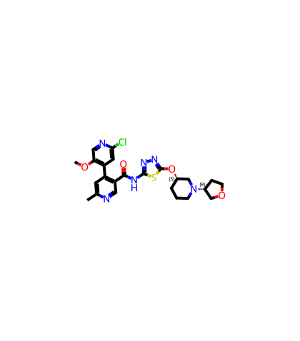 COc1cnc(Cl)cc1-c1cc(C)ncc1C(=O)Nc1nnc(O[C@H]2CCCN([C@@H]3CCOC3)C2)s1